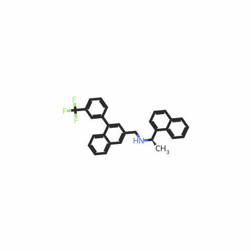 C[C@@H](NCc1cc(-c2cccc(C(F)(F)F)c2)c2ccccc2c1)c1cccc2ccccc12